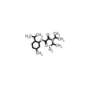 CC1CCC(C(C)C)C(OC(=O)C(=O)N(C(C)C)C(C)C)C1